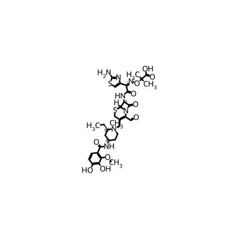 CC[C@@H]1C[C@H](NC(=O)c2ccc(O)c(O)c2OC)CC[N+]1(C)CC1=C(C=O)N2C(=O)[C@@H](NC(=O)/C(=N\OC(C)(C)C(=O)O)c3csc(N)n3)[C@H]2SC1